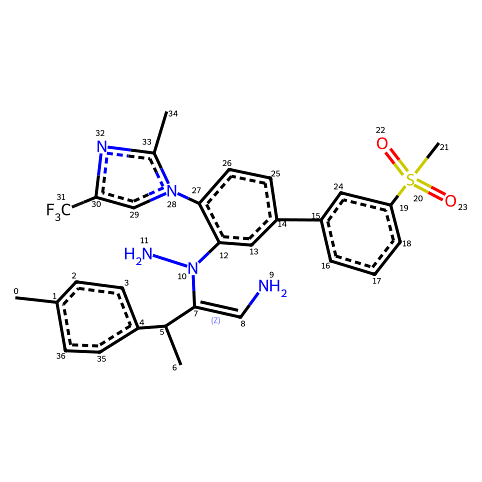 Cc1ccc(C(C)/C(=C/N)N(N)c2cc(-c3cccc(S(C)(=O)=O)c3)ccc2-n2cc(C(F)(F)F)nc2C)cc1